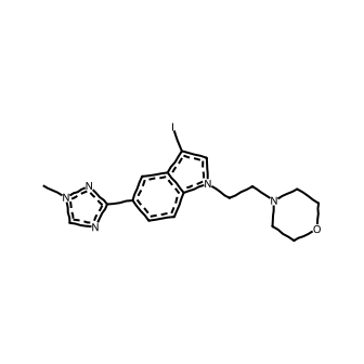 Cn1cnc(-c2ccc3c(c2)c(I)cn3CCN2CCOCC2)n1